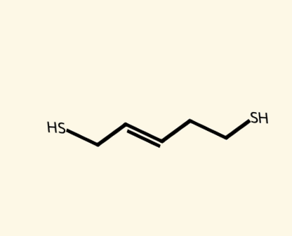 SCC=CCCS